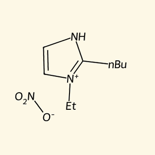 CCCCc1[nH]cc[n+]1CC.O=[N+]([O-])[O-]